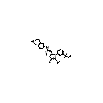 CC(C)(CF)c1cc(-n2c3nc(Nc4ccc5c(c4)CCNC5)ncc3c(=O)n2C2CC2)ccn1